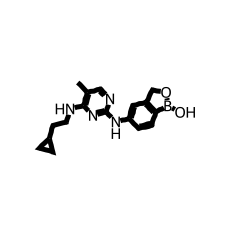 Cc1cnc(Nc2ccc3c(c2)COB3O)nc1NCCC1CC1